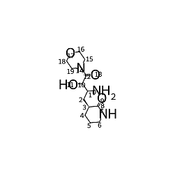 NC(C[C@@H]1CCCNC1=O)C(O)C(=O)N1CCOCC1